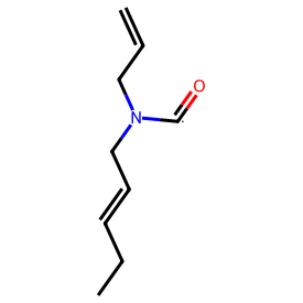 C=CCN([C]=O)C/C=C/CC